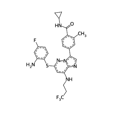 Cc1cc(-c2cnc3c(NCCC(F)(F)F)cc(Sc4ccc(F)cc4N)nn23)ccc1C(=O)NC1CC1